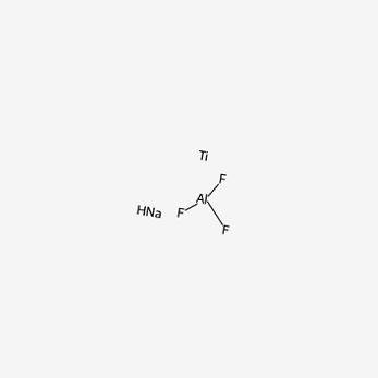 [F][Al]([F])[F].[NaH].[Ti]